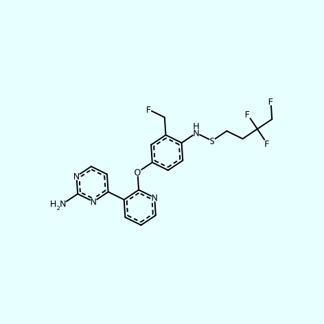 Nc1nccc(-c2cccnc2Oc2ccc(NSCCC(F)(F)CF)c(CF)c2)n1